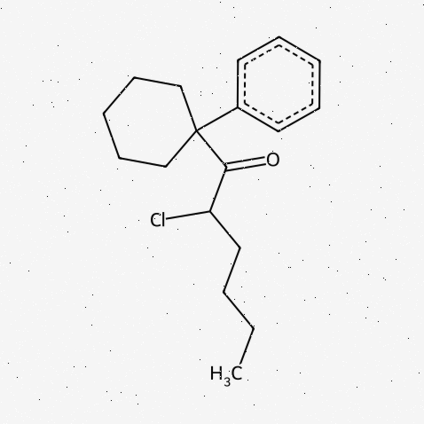 CCCCC(Cl)C(=O)C1(c2ccccc2)CCCCC1